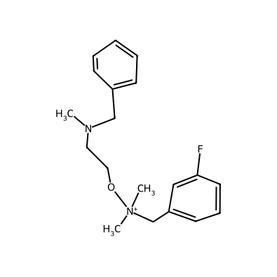 CN(CCO[N+](C)(C)Cc1cccc(F)c1)Cc1ccccc1